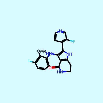 COc1c(F)cccc1Nc1c(-c2ccncc2F)[nH]c2c1C(=O)NCC2